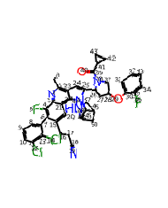 Cc1nc2c(F)c(-c3cccc(Cl)c3Cl)c(CCC#N)cc2c2c1cc(C1CC(Oc3ccccc3F)CN1C(=O)C1CC1)n2C1C2CNC1C2